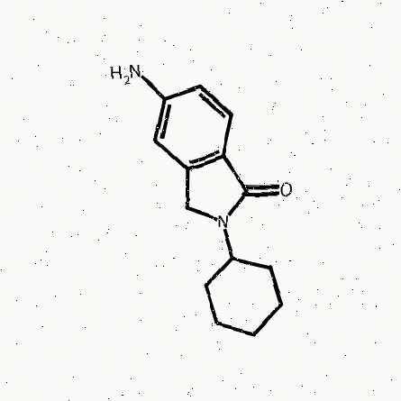 Nc1ccc2c(c1)CN(C1CCCCC1)C2=O